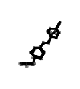 CC12CCC(CCc3ccc(N=C=S)cc3)(CC1)CC2